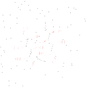 O=CC(O)C(O)C(O)C(O)CO.O=C[C@H](O)[C@@H](O)[C@@H](O)[C@H](O)CO